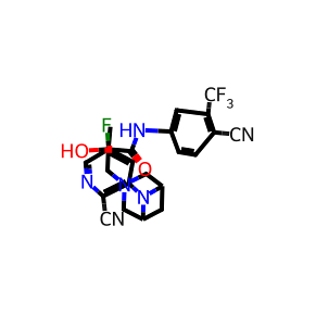 CC(O)(CN1CC2CC(C1)N2c1cc(F)cnc1C#N)C(=O)Nc1ccc(C#N)c(C(F)(F)F)c1